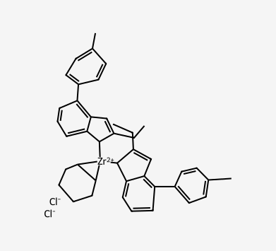 CCC1=Cc2c(-c3ccc(C)cc3)cccc2[CH]1[Zr+2]1([CH]2C(CC)=Cc3c(-c4ccc(C)cc4)cccc32)[CH]2CCCC[CH]21.[Cl-].[Cl-]